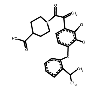 C=C(C(=O)N1CCC(C(=O)O)CC1)c1ccc(Sc2ccccc2C(C)C)c(Cl)c1Cl